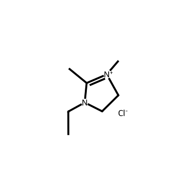 CCN1CC[N+](C)=C1C.[Cl-]